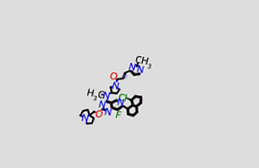 Cc1nccc(/C=C/C(=O)N2CCC(N(C)c3nc(OCC45CCCN4CCC5)nc4c(F)c(-c5cccc6cccc(Cl)c56)ncc34)C2)n1